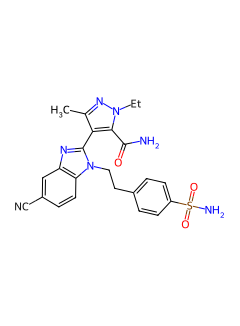 CCn1nc(C)c(-c2nc3cc(C#N)ccc3n2CCc2ccc(S(N)(=O)=O)cc2)c1C(N)=O